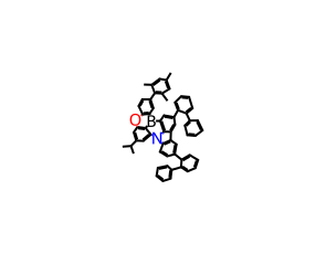 Cc1cc(C)c(-c2ccc3c(c2)B2c4c(cc(C(C)C)cc4-n4c5ccc(-c6ccccc6-c6ccccc6)cc5c5cc(-c6ccccc6-c6ccccc6)cc2c54)O3)c(C)c1